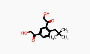 CC(C)(C)Cc1ccc(C(=O)CO)cc1C(=O)CO